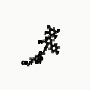 CC(C)c1nc(-c2c(F)c(F)cc(F)c2F)cc(-c2ccc(F)cc2)c1C#CCO[PH](=O)C[C@@H](O)CC(=O)O